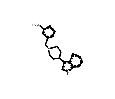 O=C(O)c1cccc(CN2CCC(c3c[nH]c4ccccc34)CC2)c1